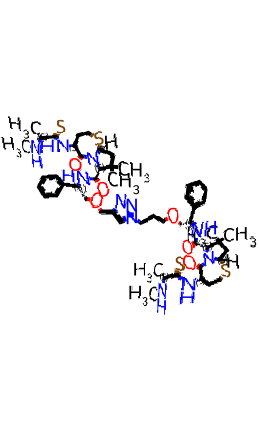 CN[C@@H](C)C(=S)N[C@H]1CCS[C@H]2CC(C)(C)[C@@H](C(=O)N[C@H](COCCCn3cc(COC[C@@H](NC(=O)[C@H]4N5C(=O)[C@@H](NC(=S)[C@H](C)NC)CCS[C@H]5CC4(C)C)c4ccccc4)nn3)c3ccccc3)N2C1=O